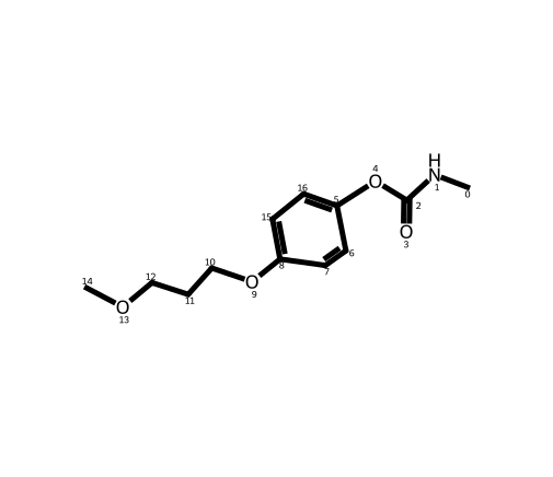 CNC(=O)Oc1ccc(OCCCOC)cc1